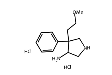 COCCC1(c2ccccc2)CNCC1N.Cl.Cl